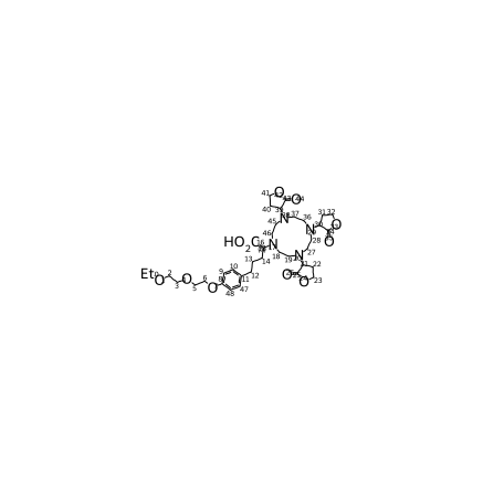 CCOCCOCCOc1ccc(CCC[C@@H](C(=O)O)N2CCN(C3CCOC3=O)CCN(C3CCOC3=O)CCN(C3CCOC3=O)CC2)cc1